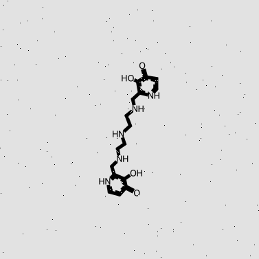 O=c1cc[nH]c(CNCCNCCNCc2[nH]ccc(=O)c2O)c1O